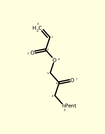 C=CC(=O)OCC(=O)CCCCCC